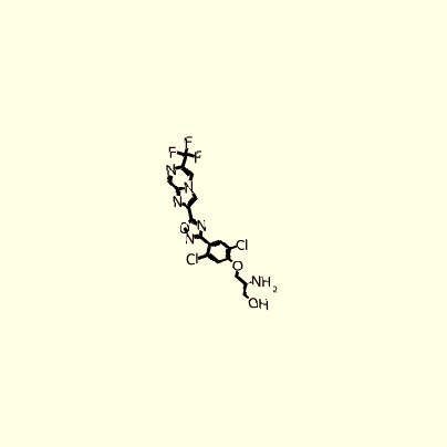 N[C@H](CO)COc1cc(Cl)c(-c2noc(-c3cn4cc(C(F)(F)F)ncc4n3)n2)cc1Cl